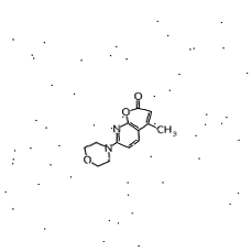 Cc1cc(=O)oc2nc(N3CCOCC3)ccc12